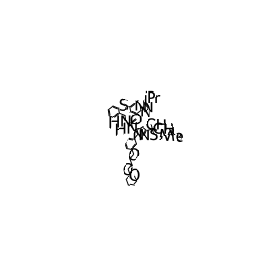 CSC(C)(C)c1cc(NC(=O)NCc2ccccc2Sc2ccc3nnc(C(C)C)n3c2)n(-c2cccc(OCCOC3CCCCO3)c2)n1